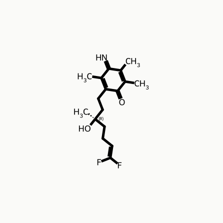 CC1=C(C)C(=O)C(CC[C@](C)(O)CCC=C(F)F)=C(C)C1=N